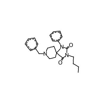 CCCCN1C(=O)N(c2ccccc2)C2(CCN(Cc3ccccc3)CC2)C1=O